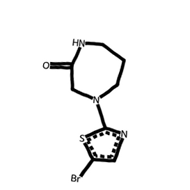 O=C1CN(c2ncc(Br)s2)CCCN1